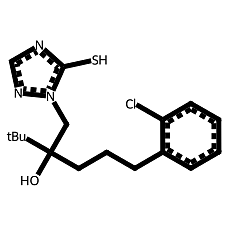 CC(C)(C)C(O)(CCCc1ccccc1Cl)Cn1ncnc1S